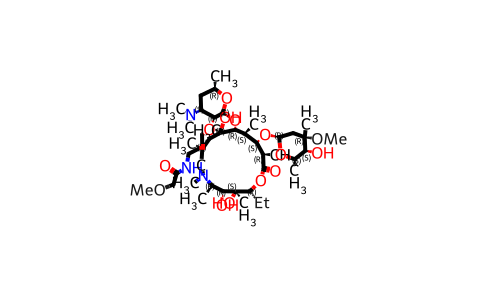 CC[C@H]1OC(=O)[C@H](C)[C@@H](O[C@H]2C[C@@](C)(OC)[C@@H](O)[C@H](C)O2)[C@H](C)[C@@H](O[C@@H]2O[C@H](C)C[C@H](N(C)C)[C@H]2OCCCNC(=O)COC)[C@](C)(O)C[C@@H](C)CN(C)[C@H](C)[C@@H](O)[C@]1(C)O